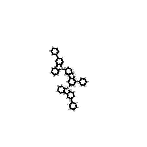 c1ccc(-c2ccc3c(c2)c2ccccc2n3-c2ccc3oc4c(-c5ccccc5)cc(-n5c6ccccc6c6cc(-c7ccccc7)ccc65)cc4c3c2)cc1